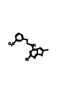 CCc1nc(NCCc2cccc([N+](=O)[O-])c2)c2cc(C)sc2n1